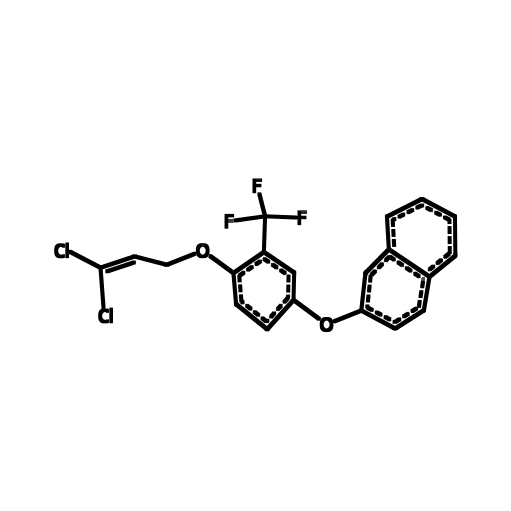 FC(F)(F)c1cc(Oc2ccc3ccccc3c2)ccc1OCC=C(Cl)Cl